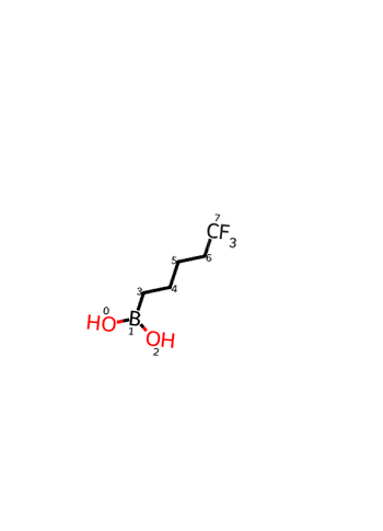 OB(O)CCCCC(F)(F)F